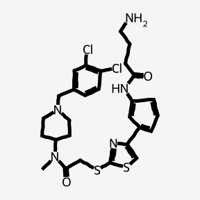 CN(C(=O)CSc1nc(-c2cccc(NC(=O)CCCN)c2)cs1)C1CCN(Cc2ccc(Cl)c(Cl)c2)CC1